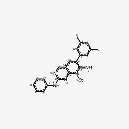 CCn1c(=N)c(-c2cc(C)cc(C)c2)cc2cnc(Nc3ccccc3)nc21